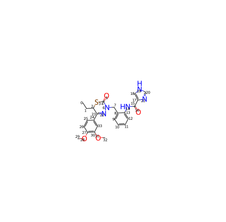 CCC1SC(=O)N(Cc2ccccc2NC(=O)c2c[nH]cn2)N=C1c1ccc(OC)c(OC)c1